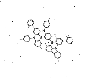 Cc1ccc(N2c3ccc(C)cc3B3c4cc5c(cc4N(c4ccc(C)cc4)c4cc(-c6ccccc6C)cc2c43)Oc2cc(-c3ccccc3C)cc3c2B5c2c(C)ccc4c5cc(C)ccc5n-3c24)cc1